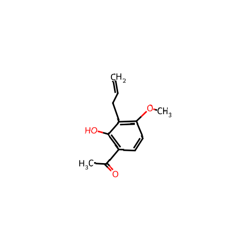 C=CCc1c(OC)ccc(C(C)=O)c1O